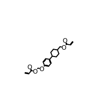 C=CC(=O)OCOc1ccc(C2CCC(COC(=O)C=C)CC2)cc1